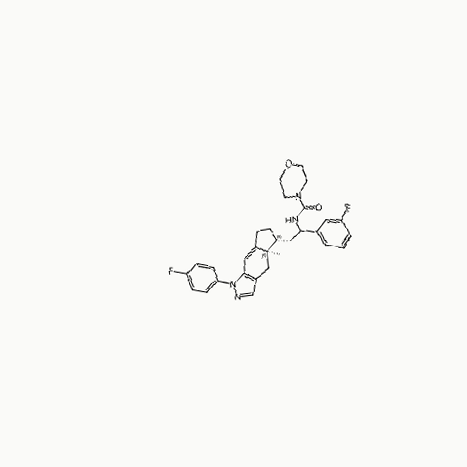 C[C@]12Cc3cnn(-c4ccc(F)cc4)c3C=C1CC[C@@H]2CC(NC(=O)N1CCOCC1)c1cccc(F)c1